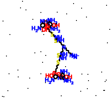 [N-]=[N+]=NCCCCCN(CCCCNC(=S)NCCSCCCCOC1[C@@H](O[C@@H]2OC(CN)[C@@H](O)CC2N)C(N)C[C@@H](N)[C@H]1O)CCCNC(=S)NCCSCCCCCO[C@@H]1C(O)[C@H](N)CC(N)[C@@H]1O[C@@H]1OC(CN)[C@@H](O)CC1N